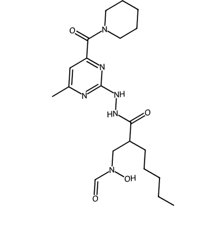 CCCCCC(CN(O)C=O)C(=O)NNc1nc(C)cc(C(=O)N2CCCCC2)n1